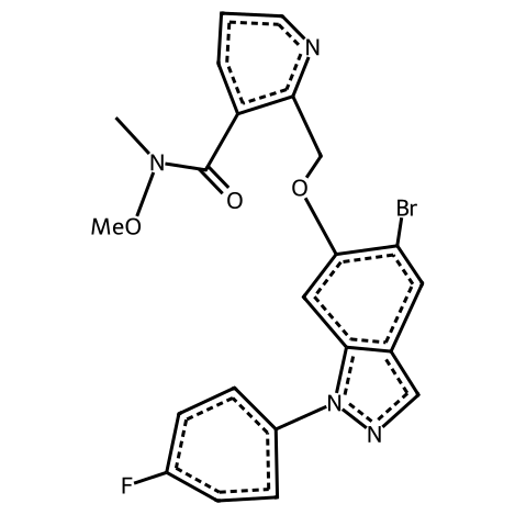 CON(C)C(=O)c1cccnc1COc1cc2c(cnn2-c2ccc(F)cc2)cc1Br